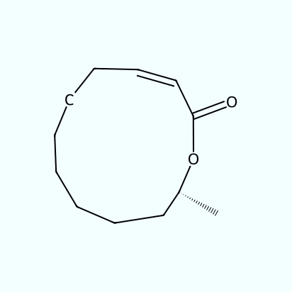 C[C@@H]1CCCCCCCC=CC(=O)O1